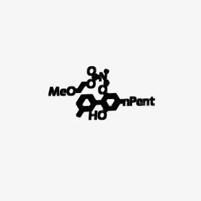 CCCCCc1cc(O)c(-c2cccc(C)c2)c(OCN(C)C(=O)OCCOC)c1